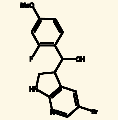 COc1ccc(C(O)C2CNc3ncc(Br)cc32)c(F)c1